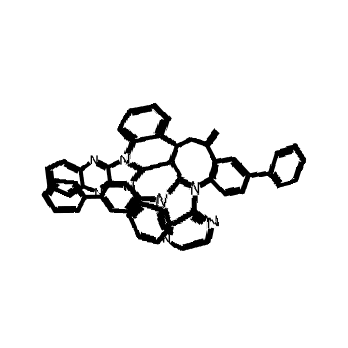 C=C1CC2c3ccccc3N3c4nc5ccccc5nc4N(c4ccccc4)C3C2C2N(c3ccc(-c4ccccc4)cc3)c3nccnc3N2c2ccc(-c3ccccc3)cc21